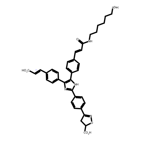 CCCCCCCCCCCCCCCCNC(=O)C=Cc1ccc(-c2[nH]c(-c3ccc(C4=NOC(C(=O)O)C4)cc3)nc2-c2ccc(/C=C/C(=O)O)cc2)cc1